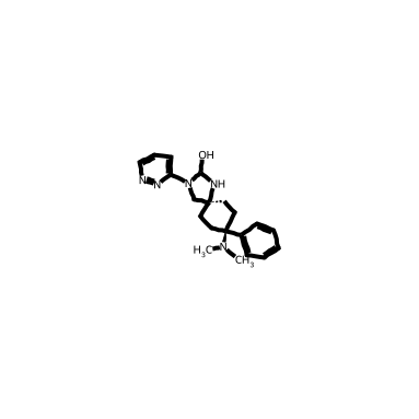 CN(C)[C@]1(c2ccccc2)CC[C@]2(CC1)CN(c1cccnn1)C(O)N2